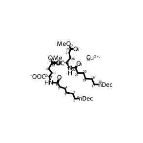 CCCCCCCCCCCCCCCC(=O)N[C@@H](CCC(=O)OC)C(=O)[O-].CCCCCCCCCCCCCCCC(=O)N[C@@H](CCC(=O)OC)C(=O)[O-].[Cu+2]